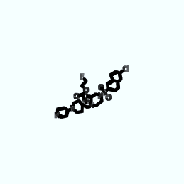 O=C(NC1(CN2CCN(S(=O)(=O)c3ccc4cc(Cl)ccc4c3)CC2=O)CCN(c2ccncc2)CC1)OCCF